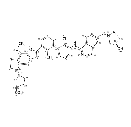 Cc1c(-c2nc3cc4c(c(OC(F)(F)F)c3o2)CC[C@H]4N2CC[C@@H](C(=O)O)C2)cccc1-c1cccc(Nc2nccc3cc(CN4CC[C@@H](O)C4)cnc23)c1Cl